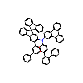 c1ccc(-c2cccc(-c3cc4c(cc3N(c3ccc(-c5ccccc5-c5ccccc5)cc3)c3ccc5c6ccccc6c6ccccc6c5c3)C3(c5ccccc5-c5ccccc53)c3ccccc3-4)c2)cc1